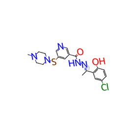 C/C(=N\NC(=O)c1cncc(SN2CCN(C)CC2)c1)c1cc(Cl)ccc1O